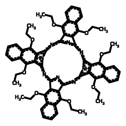 CCOc1c2c(c(OCC)c3ccccc13)-c1nc-2nc2[nH]c(nc3nc(nc4[nH]c(n1)c1c(OCC)c5ccccc5c(OCC)c41)-c1c-3c(OCC)c3ccccc3c1OCC)c1c(OCC)c3ccccc3c(OCC)c21